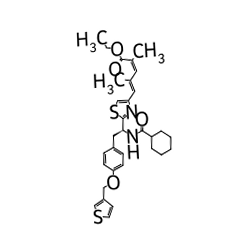 CCOC(=O)/C(C)=C\C(C)=C\c1csc([C@H](Cc2ccc(OCc3ccsc3)cc2)NC(=O)C2CCCCC2)n1